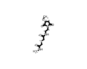 CNC(=O)CSCC(=O)NCCN1C(=O)C[C@@H](OC)C1=O